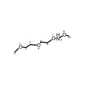 COCCOCCONOC